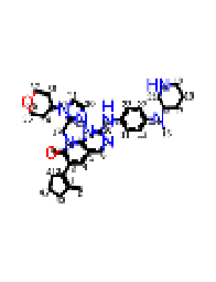 CC1=C(c2cc3cnc(Nc4ccc(N(C)C5CCCNC5)cc4)nc3n(Cc3nccn3C3CCOCC3)c2=O)CCC1